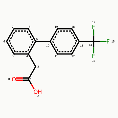 O=C(O)Cc1ccccc1-c1ccc(C(F)(F)F)cc1